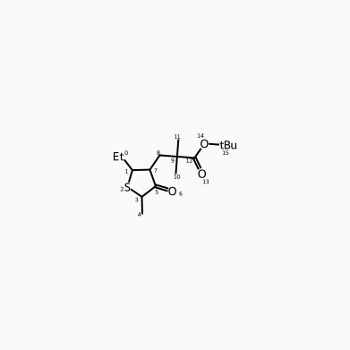 CCC1SC(C)C(=O)C1CC(C)(C)C(=O)OC(C)(C)C